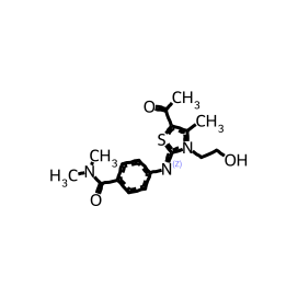 CC(=O)c1s/c(=N\c2ccc(C(=O)N(C)C)cc2)n(CCO)c1C